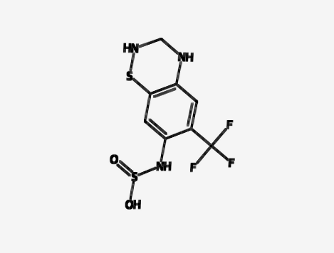 O=S(O)Nc1cc2c(cc1C(F)(F)F)NCNS2